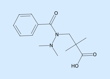 CN(C)N(CC(C)(C)C(=O)O)C(=O)c1ccccc1